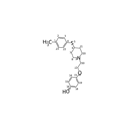 Cc1ccc(SC2CCN(CCOc3ccc(O)cc3)CC2)cc1